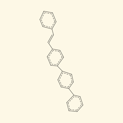 C(=Cc1ccc(-c2ccc(-c3ccccc3)cc2)cc1)c1ccccc1